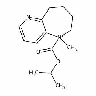 CC(C)OC(=O)[N+]1(C)CCCCc2ncccc21